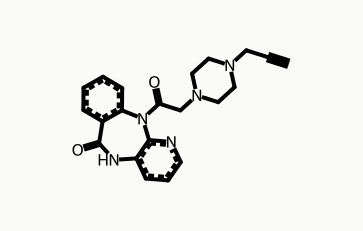 C#CCN1CCN(CC(=O)N2c3ccccc3C(=O)Nc3cccnc32)CC1